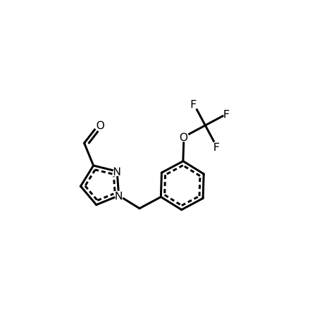 O=Cc1ccn(Cc2cccc(OC(F)(F)F)c2)n1